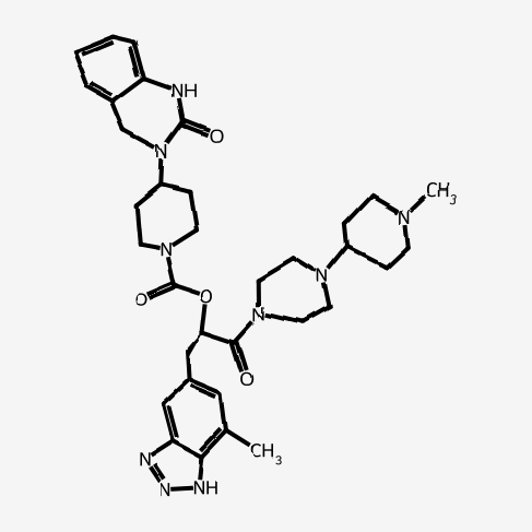 Cc1cc(C[C@@H](OC(=O)N2CCC(N3Cc4ccccc4NC3=O)CC2)C(=O)N2CCN(C3CCN(C)CC3)CC2)cc2nn[nH]c12